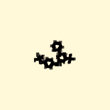 CC(C)(C)c1cc(Nc2ccc(OC(F)(F)F)cc2)nc(-c2ccccn2)n1